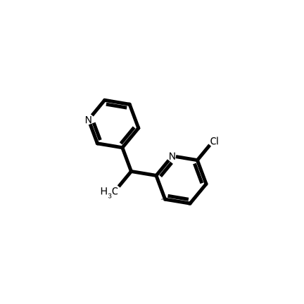 CC(c1cccnc1)c1[c]ccc(Cl)n1